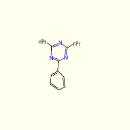 CCCc1nc(CCC)nc(-c2ccccc2)n1